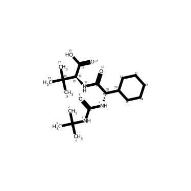 CC(C)(C)NC(=O)N[C@H](C(=O)N[C@H](C(=O)O)C(C)(C)C)C1CCCCC1